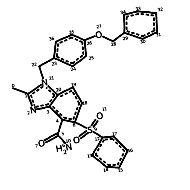 Cc1nc2c(C(N)=O)c(S(=O)(=O)c3ccccc3)ccc2n1Cc1ccc(OCc2ccccc2)cc1